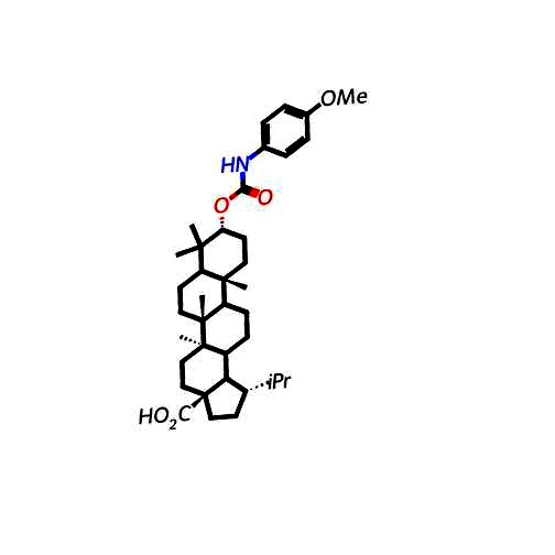 COc1ccc(NC(=O)O[C@@H]2CC[C@@]3(C)C(CC[C@]4(C)C3CCC3C5[C@H](C(C)C)CC[C@]5(C(=O)O)CC[C@]34C)C2(C)C)cc1